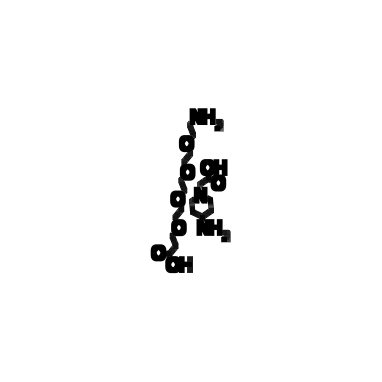 NC1CCN(CC(=O)O)CC1.NCCOCCOCCOCCOCCC(=O)O